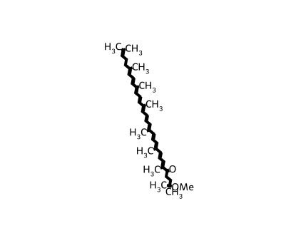 COC(C)(C)CCC(=O)/C(C)=C/C=C/C(C)=C/C=C/C(C)=C/C=C/C=C(C)/C=C/C=C(C)/C=C/C=C(\C)CCC=C(C)C